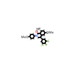 COc1ccc(-n2cc(-c3cc(F)c(F)c(F)c3)c3cc(OC)cc(C#N)c3c2=O)cc1